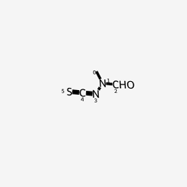 CN(C=O)N=C=S